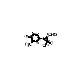 O=C[C@H]1[C@H](c2ccc(F)c(C(F)(F)F)c2)C1(Cl)Cl